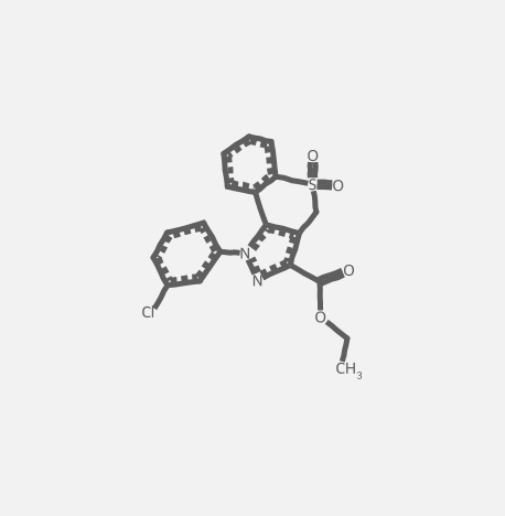 CCOC(=O)c1nn(-c2cccc(Cl)c2)c2c1CS(=O)(=O)c1ccccc1-2